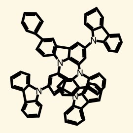 c1ccc(-c2ccc3c(c2)c2cc(-n4c5ccccc5c5ccccc54)cc(-n4c5ccccc5c5ccccc54)c2n3-c2cc(-n3c4ccccc4c4ccccc43)cc(-n3c4ccccc4c4ccccc43)c2)cc1